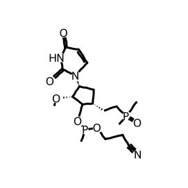 CO[C@H]1C(OP(C)OCCC#N)[C@@H](CCP(C)(C)=O)C[C@H]1n1ccc(=O)[nH]c1=O